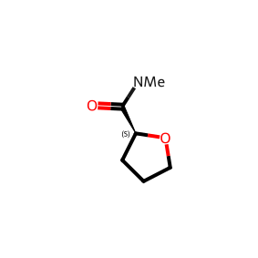 CNC(=O)[C@@H]1CCCO1